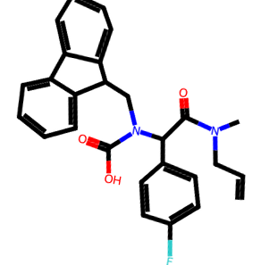 C=CCN(C)C(=O)C(c1ccc(F)cc1)N(CC1c2ccccc2-c2ccccc21)C(=O)O